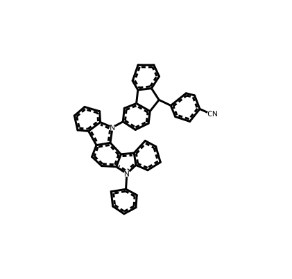 N#Cc1ccc(C2c3ccccc3-c3cc(-n4c5ccccc5c5ccc6c(c7ccccc7n6-c6ccccc6)c54)ccc32)cc1